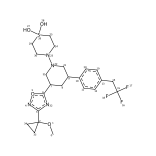 COC1(c2noc(C3CC(c4ccc(CC(F)(F)F)cc4)CN(N4CCS(O)(O)CC4)C3)n2)CC1